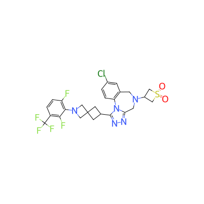 O=S1(=O)CC(N2Cc3cc(Cl)ccc3-n3c(nnc3C3CC4(C3)CN(c3c(F)ccc(C(F)(F)F)c3F)C4)C2)C1